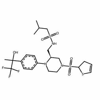 CC(C)CS(=O)(=O)NC[C@H]1CN(S(=O)(=O)C2CC=CS2)CCN1c1ccc(C(C)(O)C(F)(F)F)cc1